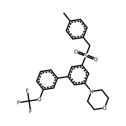 Cc1ccc(CS(=O)(=O)c2cc(-c3cccc(OC(F)(F)F)c3)cc(N3CCOCC3)c2)cc1